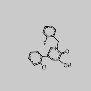 O=c1c(O)cc(-c2ccccc2Cl)cn1Cc1ccccc1F